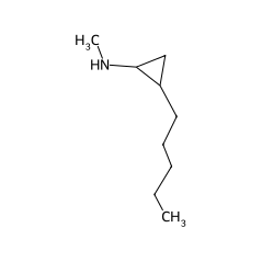 CCCCCC1CC1NC